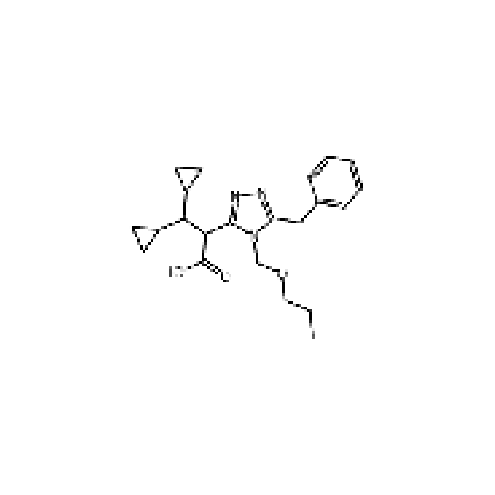 CCCOCn1c(Cc2ccccc2)nnc1C(C(=O)O)C(C1CC1)C1CC1